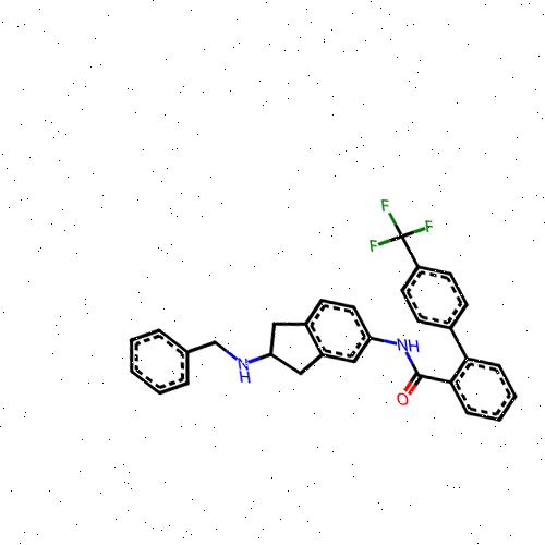 O=C(Nc1ccc2c(c1)CC(NCc1ccccc1)C2)c1ccccc1-c1ccc(C(F)(F)F)cc1